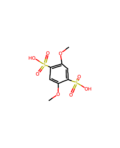 COc1cc(S(=O)(=O)O)c(OC)cc1S(=O)(=O)O